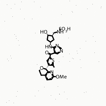 COc1ccc2c(n1)[C@@H](c1cc(C(=O)c3cncnc3N[C@H]3C[C@H](O)[C@@H]([CH]NS(=O)(=O)O)C3)sc1C)OCC2